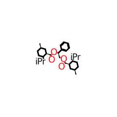 CC(C)C1CC[C@@H](C)C[C@H]1C(=O)O[C@H](COC(=O)[C@@H]1C[C@H](C)CC[C@H]1C(C)C)c1ccccc1